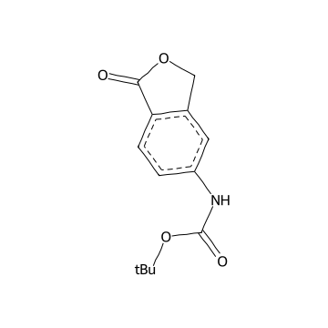 CC(C)(C)OC(=O)Nc1ccc2c(c1)COC2=O